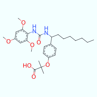 CCCCCCCC(NC(=O)Nc1c(OC)cc(OC)cc1OC)c1ccc(OC(C)(C)C(=O)O)cc1